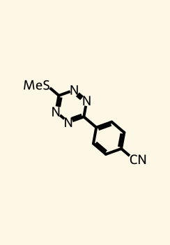 CSc1nnc(-c2ccc(C#N)cc2)nn1